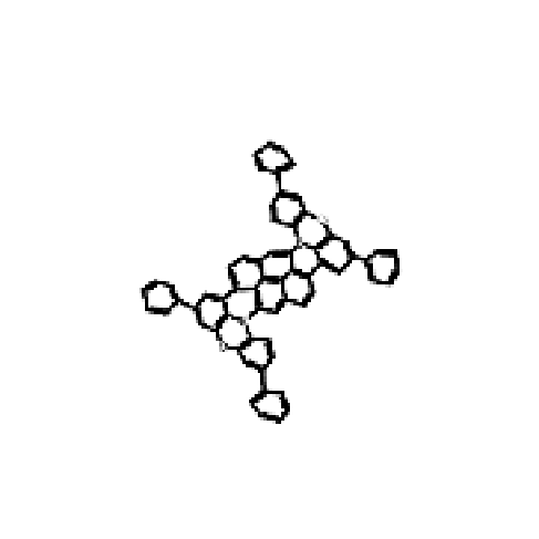 c1ccc(-c2ccc3c(c2)Oc2cc(-c4ccccc4)cc4c2B3c2cc3ccc5c6c(cc7ccc-4c2c7c36)B2c3ccc(-c4ccccc4)cc3Oc3cc(-c4ccccc4)cc-5c32)cc1